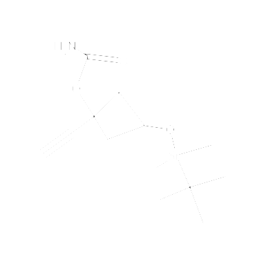 C#CC1(OC(N)=O)CC(O[Si](C)(C)C(C)(C)C)C1